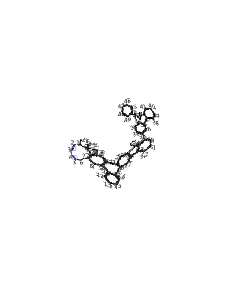 C=C1/C=C\C=C/Cc2cc3c4ccccc4c4cc5c(cc4c3cc2C1(C)C)sc1c(-c2ccc3c(c2)c2ccccc2n3-c2ccccc2)cccc15